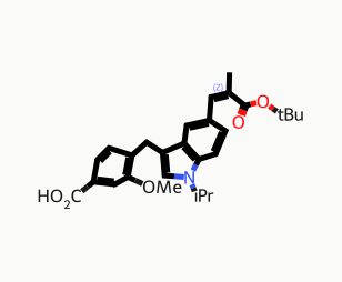 COc1cc(C(=O)O)ccc1Cc1cn(C(C)C)c2ccc(/C=C(/C)C(=O)OC(C)(C)C)cc12